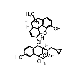 CN1CC[C@]23c4c5ccc(O)c4O[C@H]2[C@@H](O)C=C[C@H]3[C@H]1C5.CO[C@@H]1[C@H]2Cc3ccc(O)cc3[C@]1(C)CCN2CC1CC1